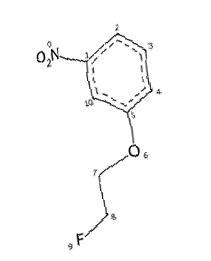 O=[N+]([O-])c1cccc(OCCF)c1